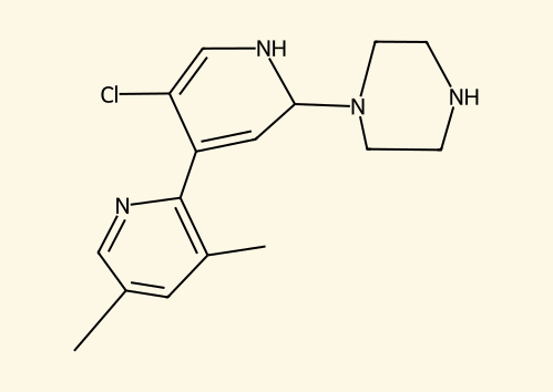 Cc1cnc(C2=CC(N3CCNCC3)NC=C2Cl)c(C)c1